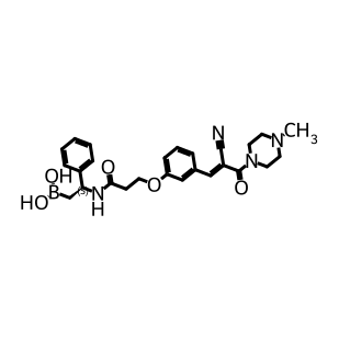 CN1CCN(C(=O)C(C#N)=Cc2cccc(OCCC(=O)N[C@@H](CB(O)O)c3ccccc3)c2)CC1